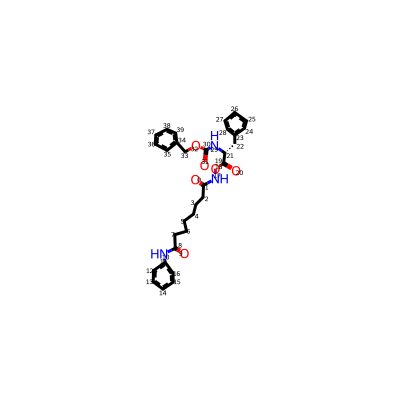 O=C(CCCCCCC(=O)Nc1ccccc1)NOC(=O)[C@@H](Cc1ccccc1)NC(=O)OCc1ccccc1